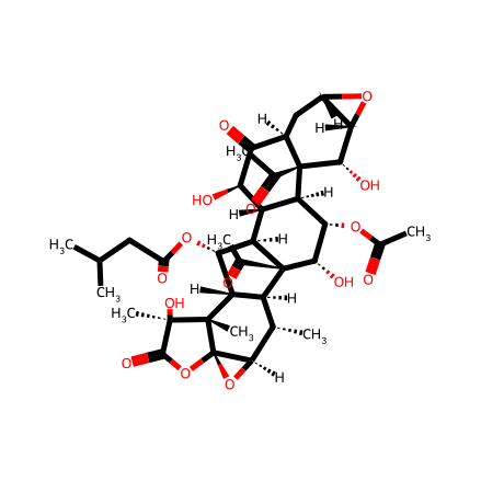 CC(=O)O[C@H]1[C@H]2[C@H]([C@@H]3[C@@H](OC(=O)CC(C)C)[C@@H]4[C@H]([C@H](C)[C@H]5O[C@]56OC(=O)[C@@](C)(O)[C@]46C)[C@@]3(C(C)=O)[C@H]1O)[C@@H](O)C(=O)[C@H]1C[C@@H]3O[C@@H]3[C@H](O)[C@]21C(C)=O